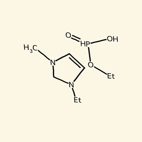 CCN1C=CN(C)C1.CCO[PH](=O)O